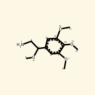 COc1cc(C(CN)OC)cc(OC)c1OC